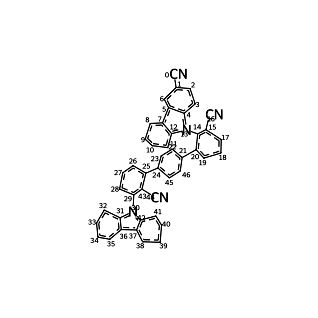 N#Cc1ccc2c(c1)c1ccccc1n2-c1c(C#N)cccc1-c1ccc(-c2cccc(-n3c4ccccc4c4ccccc43)c2C#N)cc1